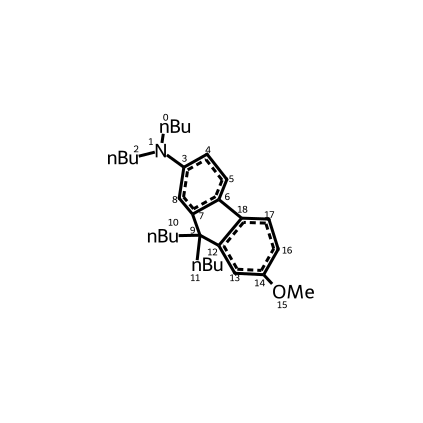 CCCCN(CCCC)c1ccc2c(c1)C(CCCC)(CCCC)c1cc(OC)ccc1-2